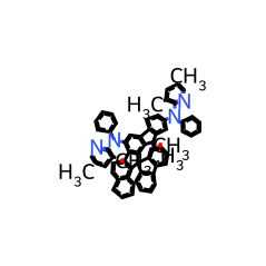 Cc1cnc(N(c2ccccc2)c2ccc3c(c2)C(C)(C)c2c-3cc(N(c3ccccc3)c3ncc(C)cc3C)c3c2C2(c4ccccc4-c4ccccc42)c2c-3ccc3ccccc23)c(C)c1